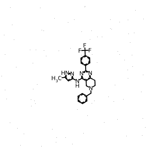 Cc1cc(Nc2nc(-c3ccc(C(F)(F)F)cc3)nc3c2CN(Cc2ccccc2)CC3)n[nH]1